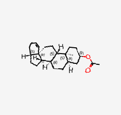 CC(=O)O[C@@H]1CC[C@@]2(C)[C@H](CC[C@@H]3[C@@H]2CC[C@@]24C=CCC[C@H]2CC[C@@H]34)C1